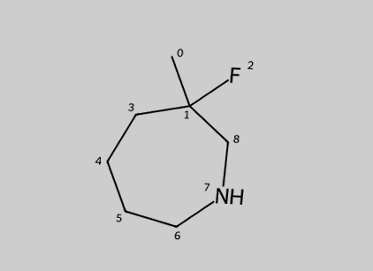 CC1(F)CCCCNC1